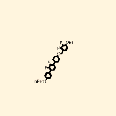 CCCCCc1ccc(-c2ccc(C3CCC(OCc4ccc(OCC)c(F)c4F)CC3)c(F)c2F)cc1